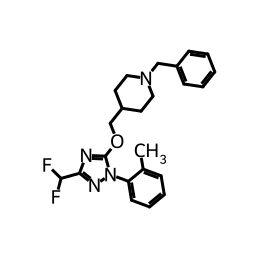 Cc1ccccc1-n1nc(C(F)F)nc1OCC1CCN(Cc2ccccc2)CC1